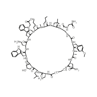 CCCC[C@H]1C(=O)N(C)[C@@H](CCCC)C(=O)N[C@@H](CC(C)C)C(=O)N[C@H](C(=O)NCC(N)=O)CNCC(=O)N[C@@H](Cc2ccc(OC)cc2)C(=O)N(C)[C@@H](C)C(=O)N[C@@H](CC(N)=O)C(=O)NCCCCC(=O)N[C@@H](CN)C(=O)N[C@@H](CC(C)C)C(=O)N2C[C@H](O)C[C@H]2C(=O)N[C@@H](Cc2c[nH]c3ccccc23)C(=O)N[C@@H](CCN)C(=O)N[C@@H](Cc2cn(CC(=O)O)c3ccccc23)C(=O)N1C